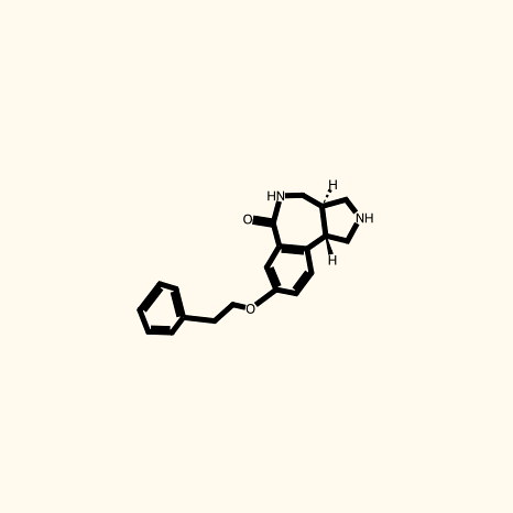 O=C1NC[C@H]2CNC[C@@H]2c2ccc(OCCc3ccccc3)cc21